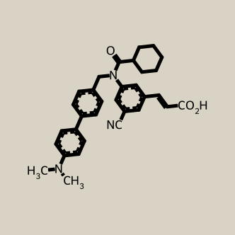 CN(C)c1ccc(-c2ccc(CN(C(=O)C3CCCCC3)c3cc(C#N)cc(C=CC(=O)O)c3)cc2)cc1